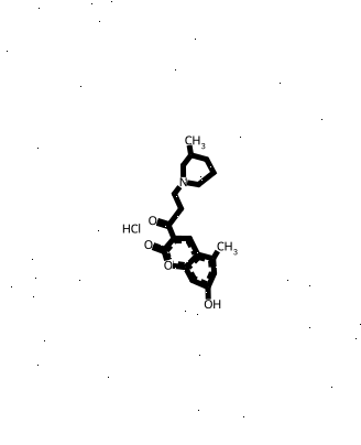 Cc1cc(O)cc2oc(=O)c(C(=O)CCN3CCCC(C)C3)cc12.Cl